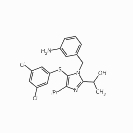 CC(C)c1nc(C(C)O)n(Cc2cccc(N)c2)c1Sc1cc(Cl)cc(Cl)c1